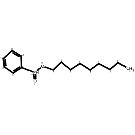 CCCCCCCCCO[PH](=O)c1ccccc1